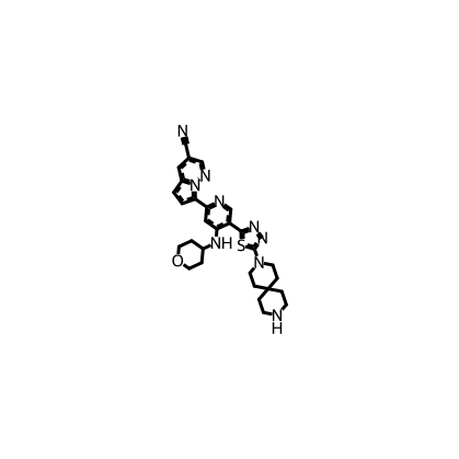 N#Cc1cnn2c(-c3cc(NC4CCOCC4)c(-c4nnc(N5CCC6(CCNCC6)CC5)s4)cn3)ccc2c1